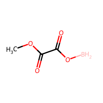 BOC(=O)C(=O)OC